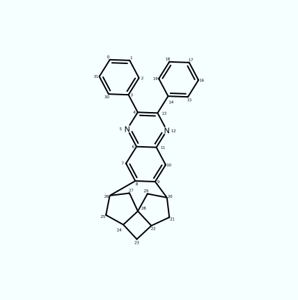 c1ccc(-c2nc3cc4c(cc3nc2-c2ccccc2)C2CC3CC5CC4CC53C2)cc1